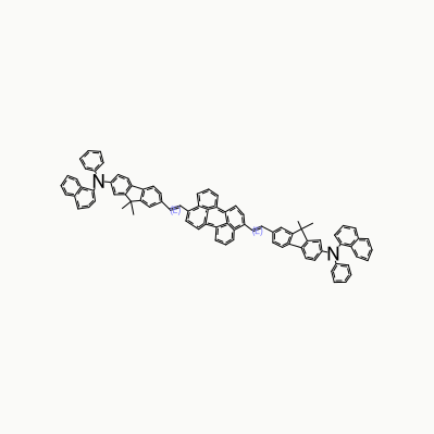 CC1(C)c2cc(/C=C/c3ccc4c5cccc6c(/C=C/c7ccc8c(c7)C(C)(C)c7cc(N(c9ccccc9)c9cccc%10ccccc9%10)ccc7-8)ccc(c7cccc3c74)c65)ccc2-c2ccc(N(c3ccccc3)c3cccc4ccccc34)cc21